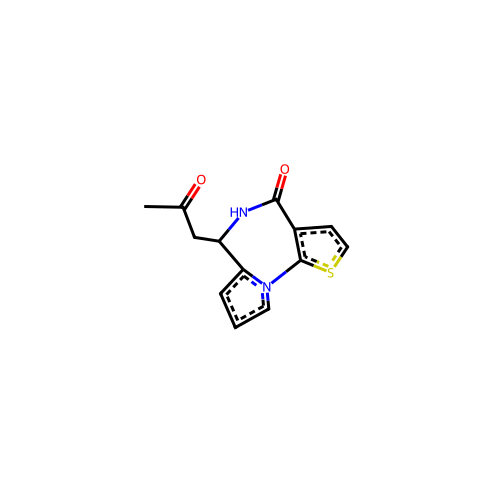 CC(=O)CC1NC(=O)c2ccsc2-n2cccc21